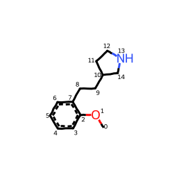 COc1ccccc1CCC1CCNC1